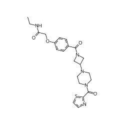 CCNC(=O)COc1ccc(C(=O)N2CC(N3CCN(C(=O)c4nccs4)CC3)C2)cc1